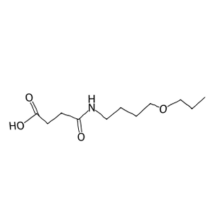 CCCOCCCCNC(=O)CCC(=O)O